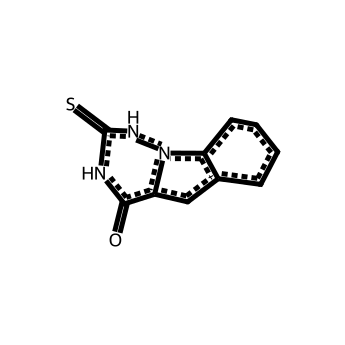 O=c1[nH]c(=S)[nH]n2c1cc1ccccc12